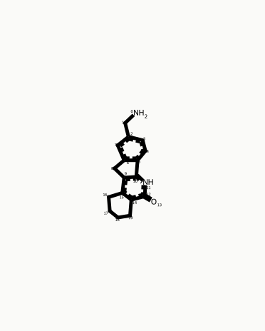 NCc1ccc2c(c1)Cc1c-2[nH]c(=O)c2c1CCCC2